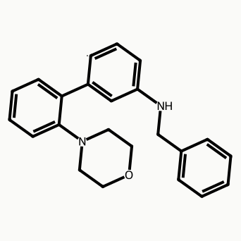 [c]1ccc(NCc2ccccc2)cc1-c1ccccc1N1CCOCC1